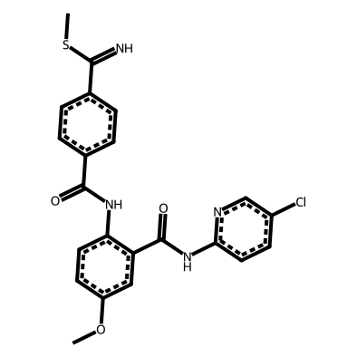 COc1ccc(NC(=O)c2ccc(C(=N)SC)cc2)c(C(=O)Nc2ccc(Cl)cn2)c1